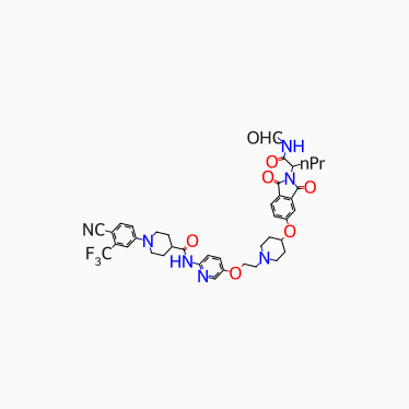 CCCC(C(=O)NC=O)N1C(=O)c2ccc(OC3CCN(CCOc4ccc(NC(=O)C5CCN(c6ccc(C#N)c(C(F)(F)F)c6)CC5)nc4)CC3)cc2C1=O